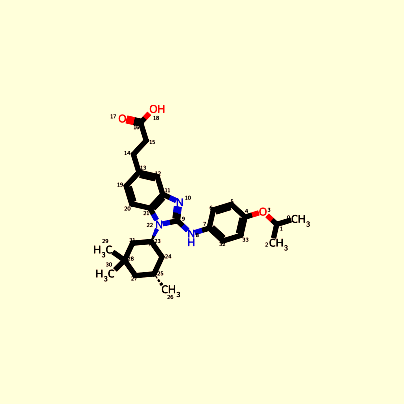 CC(C)Oc1ccc(Nc2nc3cc(CCC(=O)O)ccc3n2[C@H]2C[C@H](C)CC(C)(C)C2)cc1